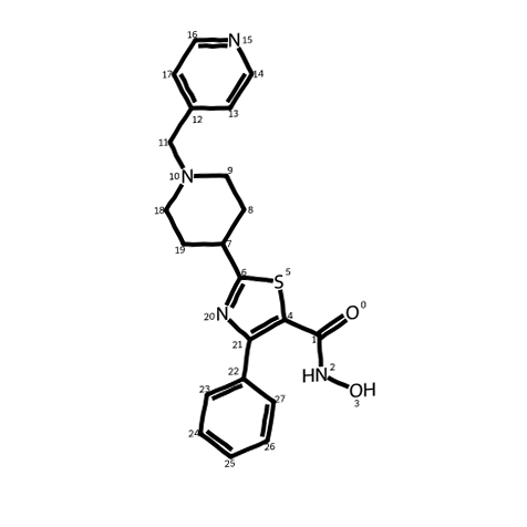 O=C(NO)c1sc(C2CCN(Cc3ccncc3)CC2)nc1-c1ccccc1